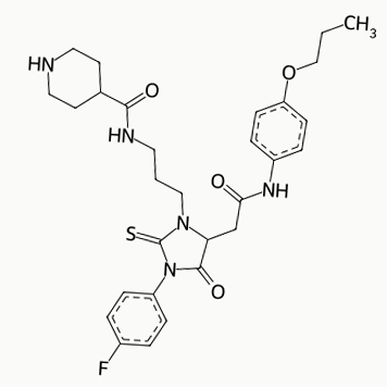 CCCOc1ccc(NC(=O)CC2C(=O)N(c3ccc(F)cc3)C(=S)N2CCCNC(=O)C2CCNCC2)cc1